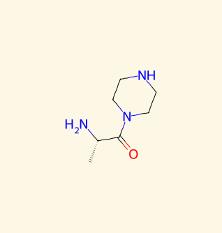 C[C@H](N)C(=O)N1CCNCC1